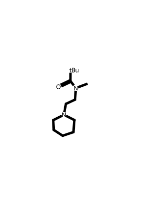 CN(CCN1CCCCC1)C(=O)C(C)(C)C